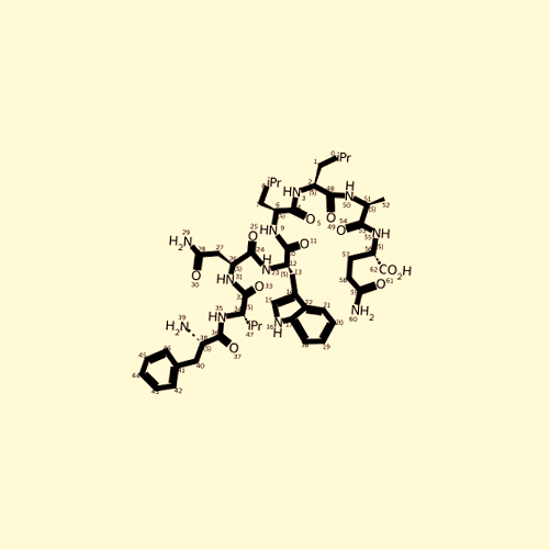 CC(C)C[C@H](NC(=O)[C@H](CC(C)C)NC(=O)[C@H](Cc1c[nH]c2ccccc12)NC(=O)[C@H](CC(N)=O)NC(=O)[C@@H](NC(=O)[C@@H](N)Cc1ccccc1)C(C)C)C(=O)N[C@@H](C)C(=O)N[C@@H](CCC(N)=O)C(=O)O